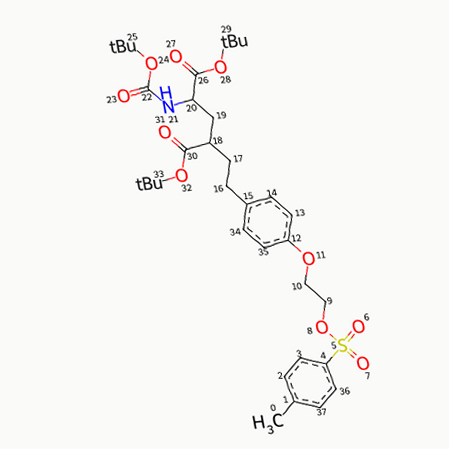 Cc1ccc(S(=O)(=O)OCCOc2ccc(CCC(CC(NC(=O)OC(C)(C)C)C(=O)OC(C)(C)C)C(=O)OC(C)(C)C)cc2)cc1